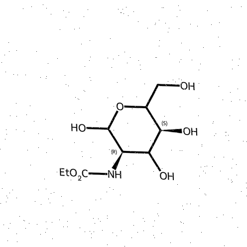 CCOC(=O)N[C@H]1C(O)OC(CO)[C@@H](O)C1O